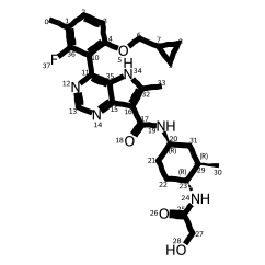 Cc1ccc(OCC2CC2)c(-c2ncnc3c(C(=O)N[C@@H]4CC[C@@H](NC(=O)CO)[C@H](C)C4)c(C)[nH]c23)c1F